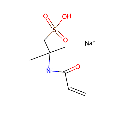 C=CC(=O)[N-]C(C)(C)CS(=O)(=O)O.[Na+]